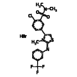 Br.CN(C)S(=O)(=O)c1cc(-c2csc(=Nc3cccc(C(F)(F)F)c3)n2C)ccc1Cl